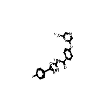 Cc1cncc(Oc2ccc(C(=O)Nc3nnc(-c4ccc(F)cc4)o3)cc2)n1